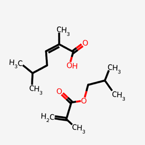 C=C(C)C(=O)OCC(C)C.CC(=CCC(C)C)C(=O)O